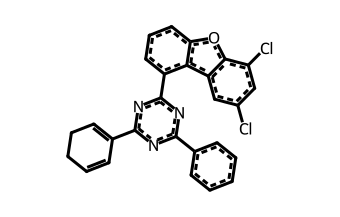 Clc1cc(Cl)c2oc3cccc(-c4nc(C5=CCCC=C5)nc(-c5ccccc5)n4)c3c2c1